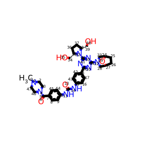 CN1CCN(C(=O)c2ccc(NC(=O)Nc3ccc(-c4nc(N5CC6CCC(C5)O6)nc(N5[C@H](CO)CC[C@@H]5CO)n4)cc3)cc2)CC1